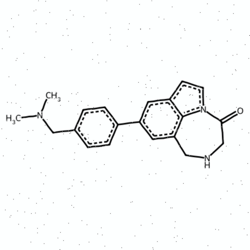 CN(C)Cc1ccc(-c2cc3c4c(ccn4C(=O)CNC3)c2)cc1